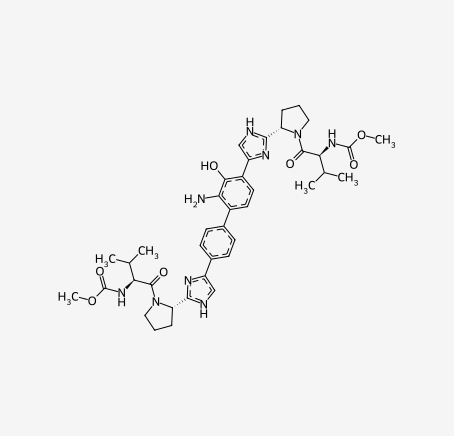 COC(=O)N[C@H](C(=O)N1CCC[C@H]1c1nc(-c2ccc(-c3ccc(-c4c[nH]c([C@@H]5CCCN5C(=O)[C@@H](NC(=O)OC)C(C)C)n4)c(O)c3N)cc2)c[nH]1)C(C)C